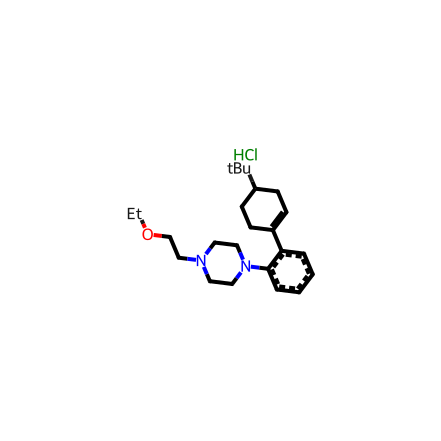 CCOCCN1CCN(c2ccccc2C2=CCC(C(C)(C)C)CC2)CC1.Cl